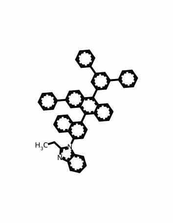 CCc1nc2ccccc2n1-c1ccc(-c2c3ccccc3c(-c3cc(-c4ccccc4)cc(-c4ccccc4)c3)c3ccc(-c4ccccc4)cc23)c2ccccc12